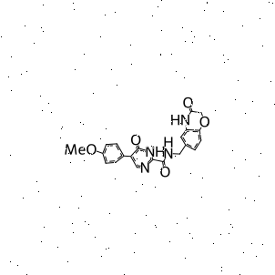 COc1ccc(-c2cnc(C(=O)NCc3ccc4c(c3)NC(=O)CO4)[nH]c2=O)cc1